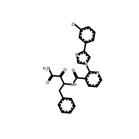 NC(=O)C(=O)C(Cc1ccccc1)NC(=O)c1cccnc1-n1cnc(-c2cccc(Cl)c2)c1